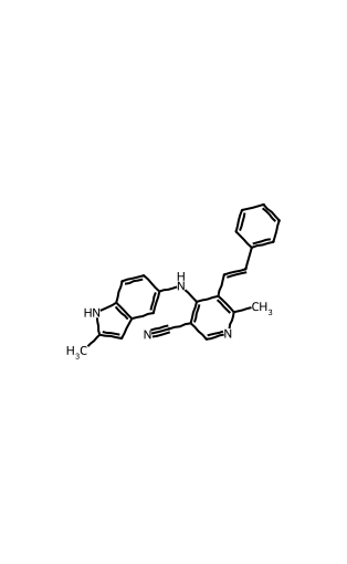 Cc1cc2cc(Nc3c(C#N)cnc(C)c3C=Cc3ccccc3)ccc2[nH]1